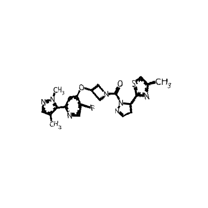 Cc1csc(C2CC=NN2C(=O)N2CC(Oc3cc(-c4c(C)cnn4C)ncc3F)C2)n1